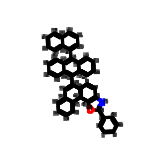 c1ccc(-c2nc3ccc4c(-c5c6ccccc6c(-c6cccc7ccccc67)c6ccccc56)cc5ccccc5c4c3o2)cc1